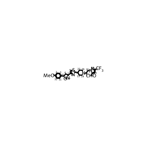 COc1ccc(C2CC(c3csc(C4CCN(C(C=O)Cn5nc(C(F)(F)F)cc5C)CC4)n3)=NO2)cc1